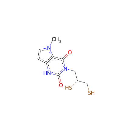 Cn1ccc2[nH]c(=O)n(C[C@@H](S)CS)c(=O)c21